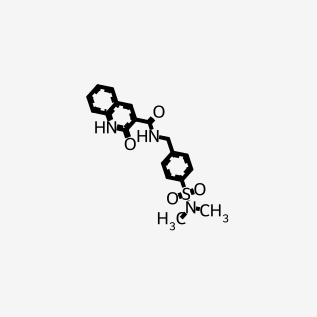 CN(C)S(=O)(=O)c1ccc(CNC(=O)c2cc3ccccc3[nH]c2=O)cc1